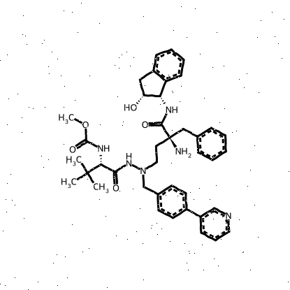 COC(=O)N[C@H](C(=O)NN(CC[C@@](N)(Cc1ccccc1)C(=O)N[C@H]1c2ccccc2C[C@H]1O)Cc1ccc(-c2cccnc2)cc1)C(C)(C)C